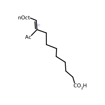 CCCCCCCC/C=C(/CCCCCCCC(=O)O)C(C)=O